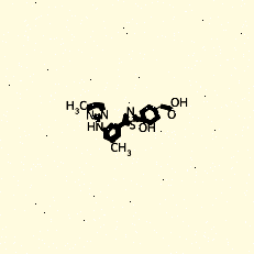 Cc1cc(Nc2nccc(C)n2)cc(-c2cnc([C@]3(O)CC[C@H](CC(=O)O)CC3)s2)c1